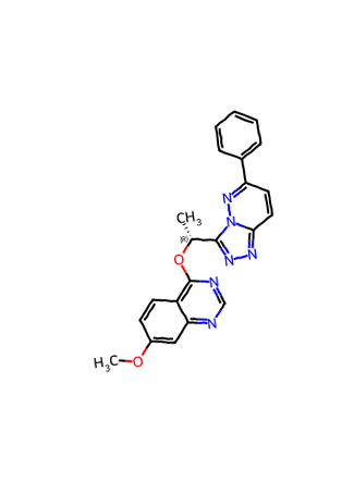 COc1ccc2c(O[C@H](C)c3nnc4ccc(-c5ccccc5)nn34)ncnc2c1